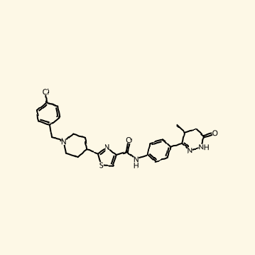 CC1CC(=O)NN=C1c1ccc(NC(=O)c2csc(C3CCN(Cc4ccc(Cl)cc4)CC3)n2)cc1